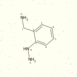 NCc1ccccc1NN